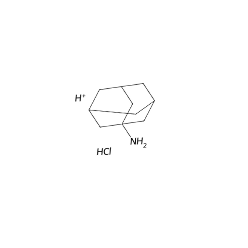 Cl.NC12CC3CC(CC(C3)C1)C2.[H+]